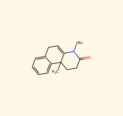 CCCCN1C(=O)CCC2(C)C1=CCc1ccccc12